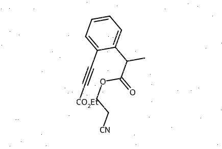 CCOC(=O)C#Cc1ccccc1C(C)C(=O)OCCC#N